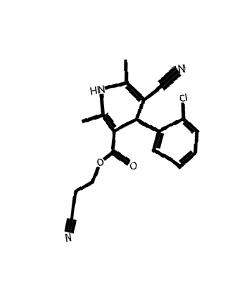 CC1=C(C#N)C(c2ccccc2Cl)C(C(=O)OCCC#N)=C(C)N1